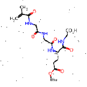 C=C(C)C(=O)NCC(=O)NCC(=O)N[C@@H](CCC(=O)OC(C)(C)C)C(=O)NCC(=O)O